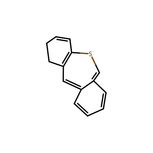 C1=CC2=C(C=c3ccccc3=CS2)CC1